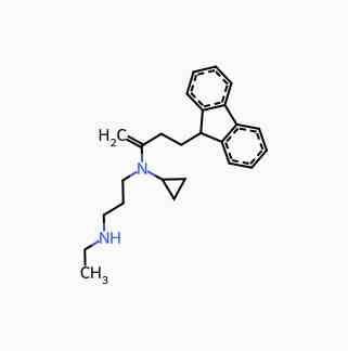 C=C(CCC1c2ccccc2-c2ccccc21)N(CCCNCC)C1CC1